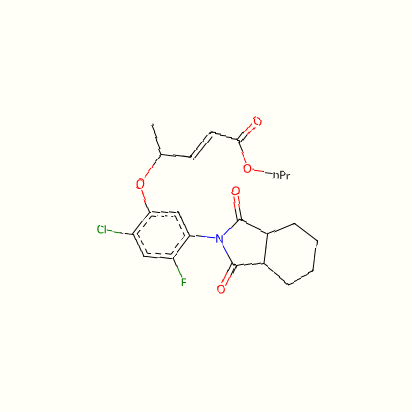 CCCOC(=O)C=CC(C)Oc1cc(N2C(=O)C3CCCCC3C2=O)c(F)cc1Cl